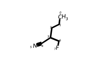 CCCC(C#N)CF